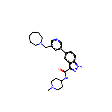 CN1CCC(NC(=O)c2n[nH]c3ccc(-c4cncc(CN5CCCCCC5)c4)cc23)CC1